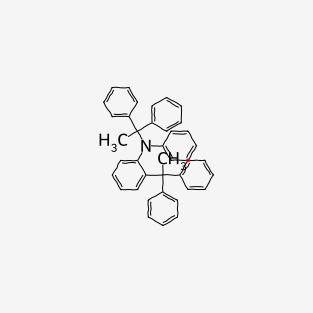 CC(c1ccccc1)(c1ccccc1)c1ccccc1N(c1ccccc1)C(C)(c1ccccc1)c1ccccc1